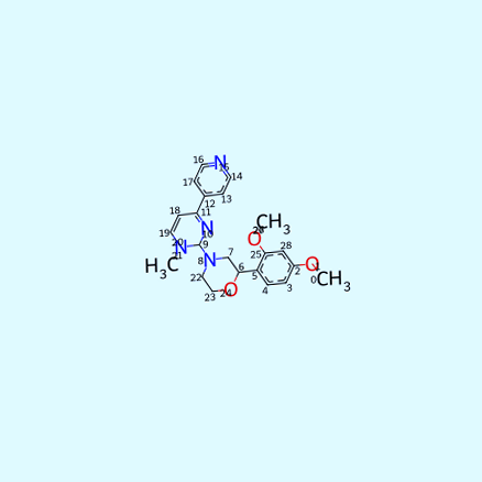 COc1ccc(C2CN(C3N=C(c4ccncc4)C=CN3C)CCO2)c(OC)c1